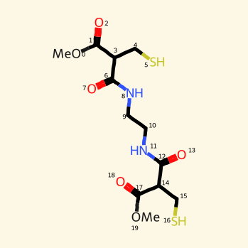 COC(=O)C(CS)C(=O)NCCNC(=O)C(CS)C(=O)OC